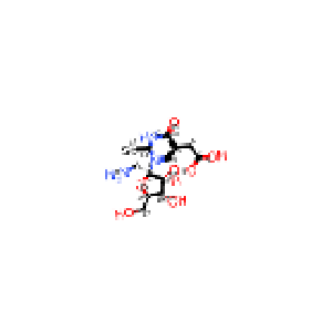 NC[C@@]1(n2cc(CC(=O)O)c(=O)[nH]c2=[Se])O[C@H](CO)[C@@H](O)[C@H]1O